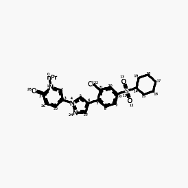 CCCn1cc(-n2cc(-c3ccc(S(=O)(=O)C4CCCCC4)cc3Cl)cn2)ccc1=O